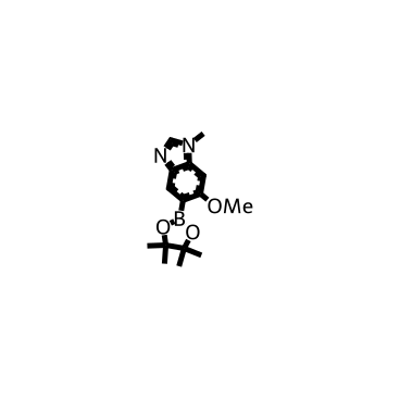 COc1cc2c(cc1B1OC(C)(C)C(C)(C)O1)ncn2C